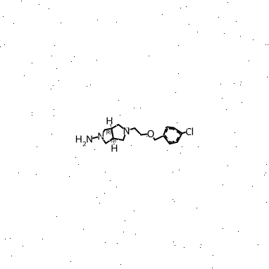 NN1C[C@@H]2CN(CCOCc3ccc(Cl)cc3)C[C@@H]2C1